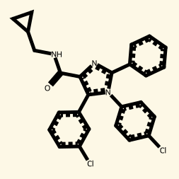 O=C(NCC1CC1)c1nc(-c2ccccc2)n(-c2ccc(Cl)cc2)c1-c1cccc(Cl)c1